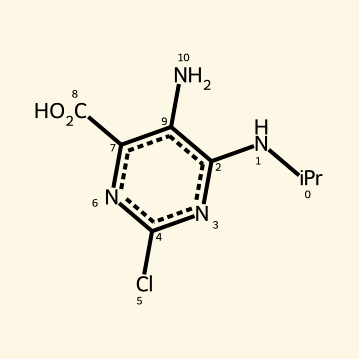 CC(C)Nc1nc(Cl)nc(C(=O)O)c1N